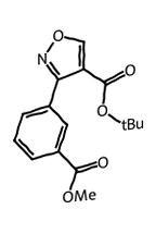 COC(=O)c1cccc(-c2nocc2C(=O)OC(C)(C)C)c1